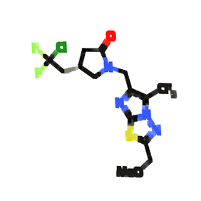 COCc1nn2c(C(F)(F)F)c(CN3C[C@H](CC(F)(F)Cl)CC3=O)nc2s1